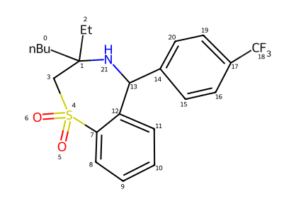 CCCCC1(CC)CS(=O)(=O)c2ccccc2C(c2ccc(C(F)(F)F)cc2)N1